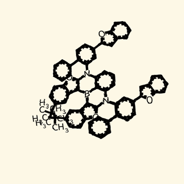 CC(C)(C)c1ccc2oc3c(c2c1)B1c2c(cccc2N(c2cc(-c4cc5ccccc5o4)ccc2-c2ccccc2)c2oc4ccc(C(C)(C)C)cc4c21)N3c1cc(-c2cc3ccccc3o2)ccc1-c1ccccc1